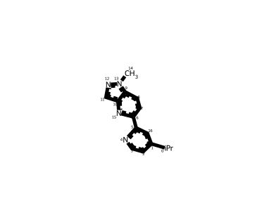 CC(C)c1ccnc(-c2ccc3c(cnn3C)n2)c1